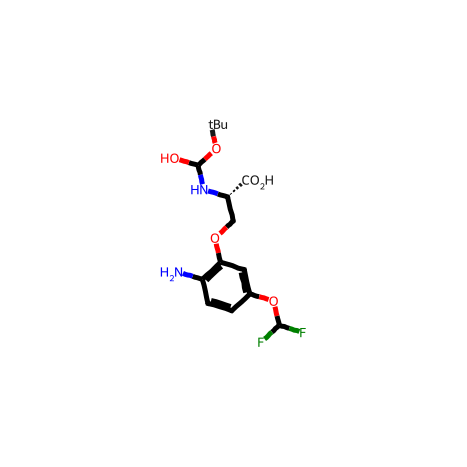 CC(C)(C)OC(O)N[C@@H](COc1cc(OC(F)F)ccc1N)C(=O)O